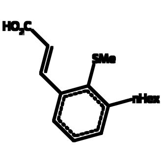 CCCCCCc1cccc(C=CC(=O)O)c1SC